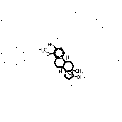 COc1c(O)ccc2c1CC[C@@H]1[C@@H]2CC[C@]2(C)[C@@H](O)CC[C@@H]12